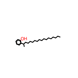 CCCCCCCCCCCCCCCCC(C)c1ccccc1O